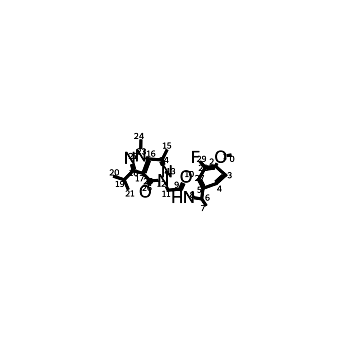 COc1ccc(C(C)NC(=O)Cn2nc(C)c3c(c(C(C)C)nn3C)c2=O)cc1F